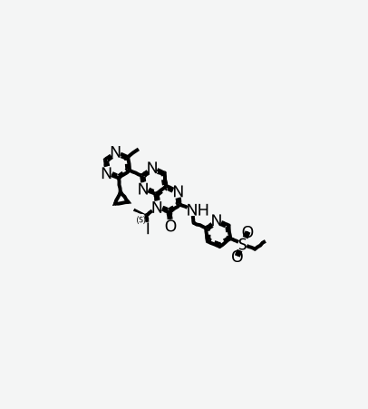 CCS(=O)(=O)c1ccc(CNc2nc3cnc(-c4c(C)ncnc4C4CC4)nc3n([C@H](C)I)c2=O)nc1